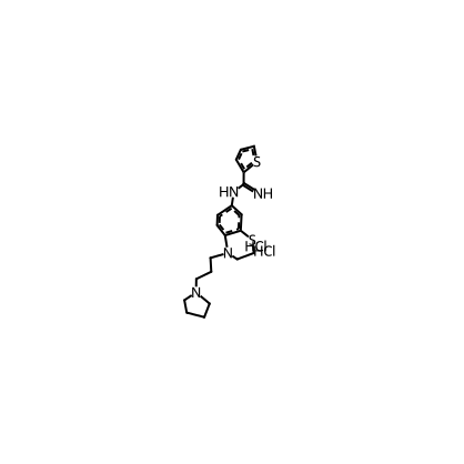 Cl.Cl.N=C(Nc1ccc2c(c1)SCCN2CCCN1CCCC1)c1cccs1